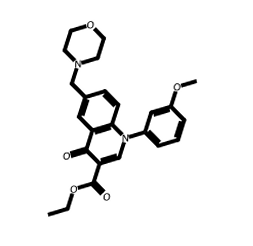 CCOC(=O)c1cn(-c2cccc(OC)c2)c2ccc(CN3CCOCC3)cc2c1=O